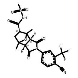 CC12C[C@@H](C(=O)NS(C)(=O)=O)C(C)(O1)[C@@H]1C(=O)N(c3ccc(C#N)c(C(F)(F)F)c3)C(=O)[C@@H]12